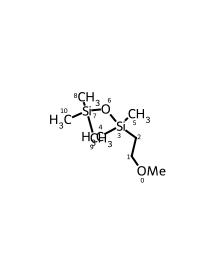 COCC[Si](C)(C)O[Si](C)(C)C